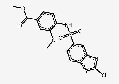 COC(=O)c1ccc(NS(=O)(=O)c2ccc3sc(Cl)nc3c2)c(OC)c1